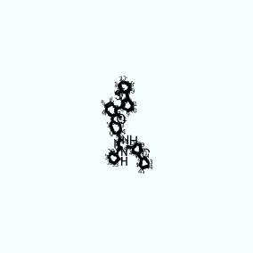 C1=CC2c3cccc(-c4cccc5c4sc4ccccc45)c3OC2C=C1C1N=C(c2ccccc2)NC(c2ccc3oc4ccccc4c3c2)N1